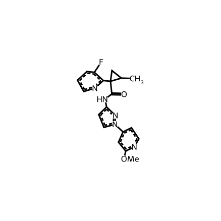 COc1cc(-n2ccc(NC(=O)C3(c4ncccc4F)CC3C)n2)ccn1